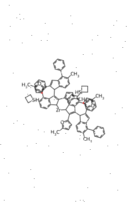 Cc1ccc(C2=Cc3c(ccc(C)c3-c3ccccc3)C2C2=C(c3ccc(C)o3)[CH]([Zr][CH]3C(c4ccc(C)o4)=C(C4C(c5ccc(C)o5)=Cc5c4ccc(C)c5-c4ccccc4)c4c3ccc([SiH]3CCC3)c4-c3ccccc3)c3ccc([SiH]4CCC4)c(-c4ccccc4)c32)o1